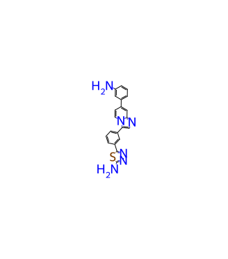 Nc1cccc(-c2ccn3c(-c4cccc(-c5nnc(N)s5)c4)cnc3c2)c1